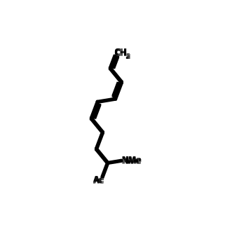 C=C/C=C\C=C/CCC(NC)C(C)=O